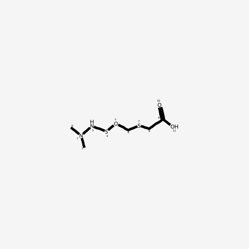 CN(C)NSOCSCC(=O)O